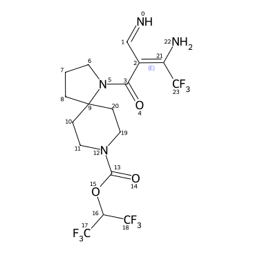 N=C/C(C(=O)N1CCCC12CCN(C(=O)OC(C(F)(F)F)C(F)(F)F)CC2)=C(\N)C(F)(F)F